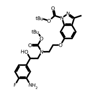 Cc1nn(C(=O)OC(C)(C)C)c2cc(OCCN(CC(O)c3ccc(F)c(N)c3)C(=O)OC(C)(C)C)ccc12